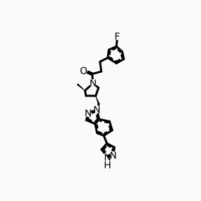 C[C@@H]1C[C@H](Cn2ncc3cc(-c4cn[nH]c4)ccc32)CN1C(=O)CCc1cccc(F)c1